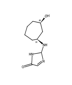 O=C1C=NC(N[C@H]2CCCC[C@@H](O)C2)N1